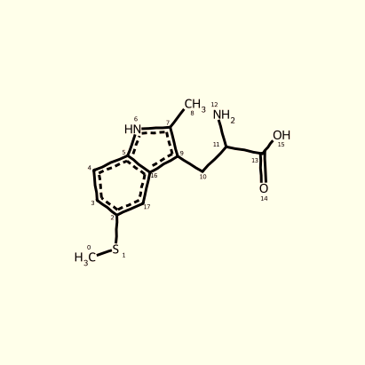 CSc1ccc2[nH]c(C)c(CC(N)C(=O)O)c2c1